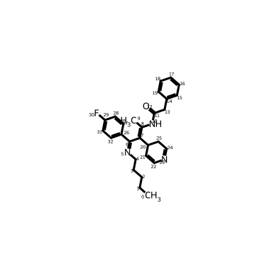 CCCCC/N=C(\C(=C(/C)NC(=O)Cc1ccccc1)C1C=CN=CC1)c1ccc(F)cc1